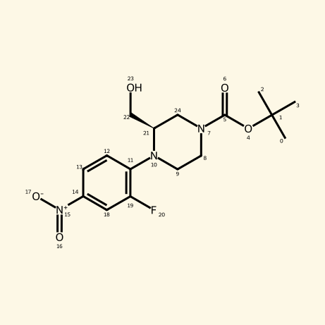 CC(C)(C)OC(=O)N1CCN(c2ccc([N+](=O)[O-])cc2F)[C@@H](CO)C1